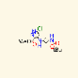 COC(=O)c1nnc(Cl)cc1NC1CC(NC(=O)OC(C)(C)C)C1